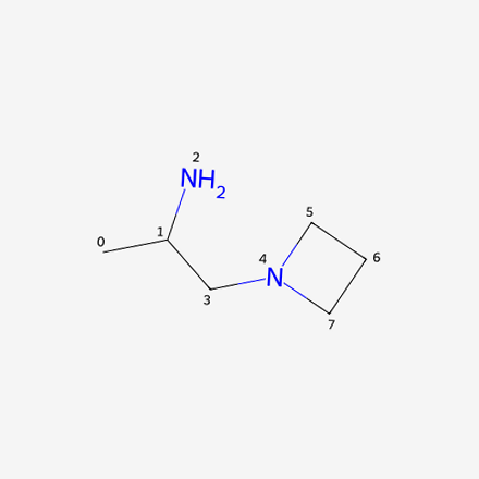 CC(N)CN1CCC1